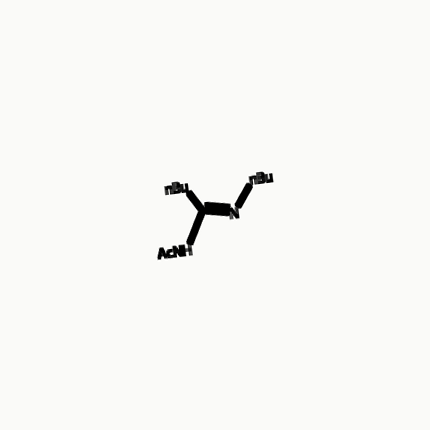 CCCC/N=C(\CCCC)NC(C)=O